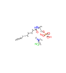 CCCCCCCCCCCCCCCC(=O)NC(C)COP(=O)(O)O.CN(C)C.Cl